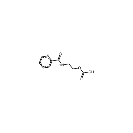 O=C(O)OCCNC(=O)c1ccccn1